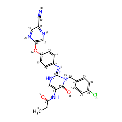 CCC(=O)Nc1c[nH]/c(=N\c2ccc(Oc3cnc(C#N)cn3)cc2)n(Cc2ccc(Cl)cc2)c1=O